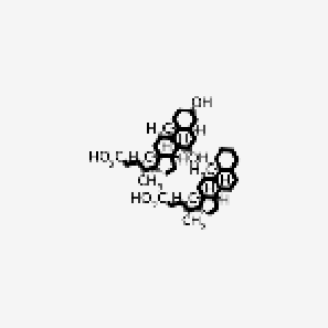 C[C@H](CCC(=O)O)[C@H]1CC[C@H]2[C@@H]3CCC4CCCC[C@]4(C)[C@H]3CC[C@]12C.C[C@H](CCC(=O)O)[C@H]1CC[C@H]2[C@@H]3[C@H](O)C[C@@H]4C[C@H](O)CC[C@]4(C)[C@H]3CC[C@]12C